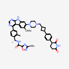 COc1cc2c(cc1N1CCN(CC3CC(c4ccc(C5CCC(=O)NC5=O)cc4)C3)CC1)[nH]c1ncnc(-c3ccc([C@@H](C)NC(=O)c4nc(C(C)(C)C)no4)c(C)c3)c12